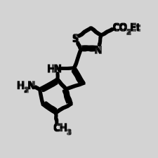 CCOC(=O)C1CSC(c2cc3cc(C)cc(N)c3[nH]2)=N1